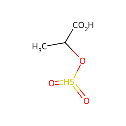 CC(O[SH](=O)=O)C(=O)O